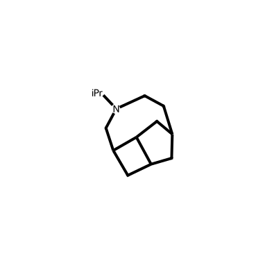 CC(C)N1CCC2CC3CC(C1)C3C2